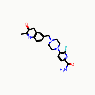 CC1=Nc2ccc(CN3CCN(c4ccc(C(N)=O)nc4F)CC3)cc2CC1=O